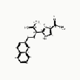 C[C@H](O)[C@H](CCc1ccc2ccccc2c1)c1nc(C(N)=O)c[nH]1